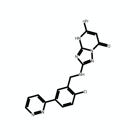 CCCc1cc(=O)n2nc(NCc3cc(-c4cccnn4)ccc3Cl)nc2[nH]1